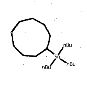 CCC[CH2][Sn]([CH2]CCC)([CH2]CCC)[CH]1CCCCCCCC1